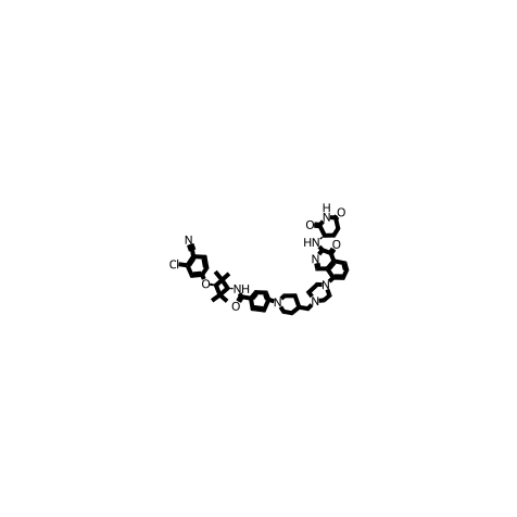 CC1(C)[C@H](NC(=O)c2ccc(N3CCC(CN4CCN(c5cccc6c5C=NC(N[C@H]5CCC(=O)NC5=O)C6=O)CC4)CC3)cc2)C(C)(C)[C@H]1Oc1ccc(C#N)c(Cl)c1